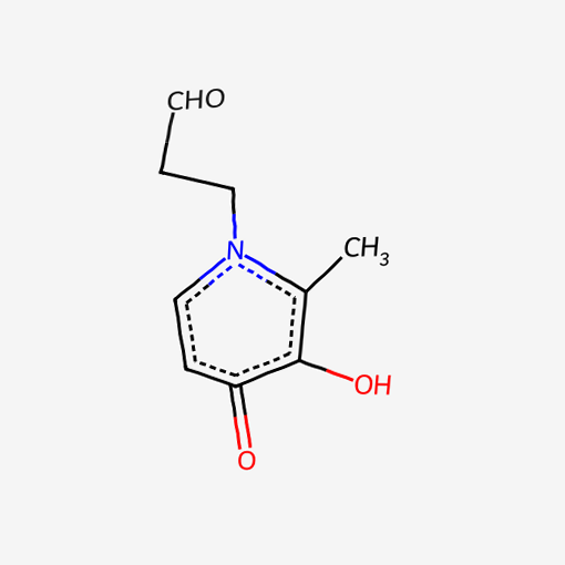 Cc1c(O)c(=O)ccn1CCC=O